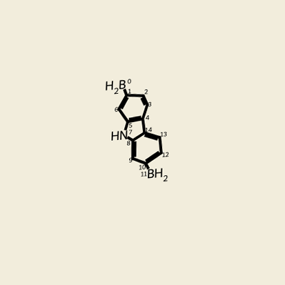 Bc1ccc2c(c1)[nH]c1cc(B)ccc12